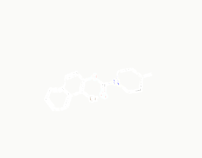 CC1CCN(C(=O)Oc2ccc3ccccc3c2Br)CC1